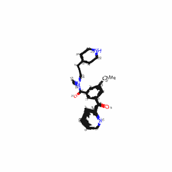 COc1cc(C(=O)c2ccccn2)cc(C(=O)N(C)CCC2CCNCC2)c1